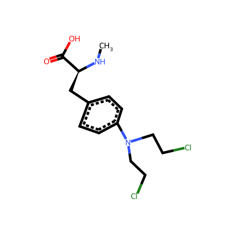 CN[C@@H](Cc1ccc(N(CCCl)CCCl)cc1)C(=O)O